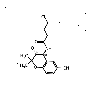 CC1(C)Oc2ccc(C#N)cc2[C@H](NC(=O)CCCCl)[C@H]1O